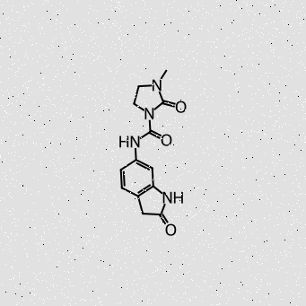 CN1CCN(C(=O)Nc2ccc3c(c2)NC(=O)C3)C1=O